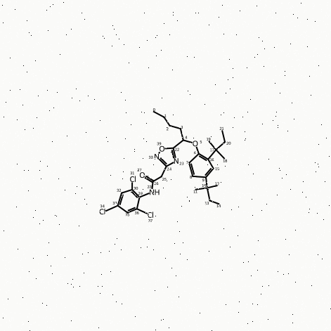 CCCCC(Oc1ccc(C(C)(C)CC)cc1C(C)(C)CC)c1nc(CC(=O)Nc2c(Cl)cc(Cl)cc2Cl)no1